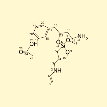 C=CNCCC[Si](OC)(OC)OC(CCN)Cc1ccccc1.CC(=O)O